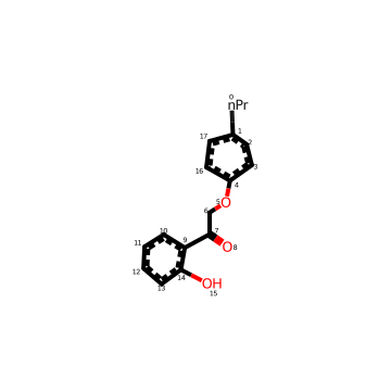 CCCc1ccc(OCC(=O)c2ccccc2O)cc1